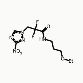 CCOCCCNC(=O)C(F)(F)Cn1cnc([N+](=O)[O-])n1